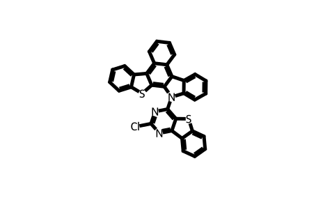 Clc1nc(-n2c3ccccc3c3c4ccccc4c4c5ccccc5sc4c32)c2sc3ccccc3c2n1